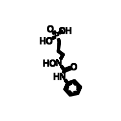 O=C(Nc1ccccc1)N(O)CCCP(=O)(O)O